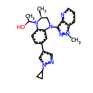 CC(O)N1c2ccc(-c3cnn(C4CC4)c3)cc2N(c2nn(C)c3cccnc23)C[C@@H]1C